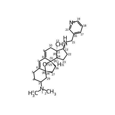 CN(C)C1CCC2=CC3=CC[C@@]4(C)C(NCc5cccnc5)CC[C@H]4[C@@]34CC[C@]2(C1)O4